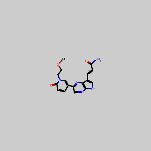 CCOCCn1cc(-c2cnc3[nH]cc(/C=C/C(N)=O)c3n2)ccc1=O